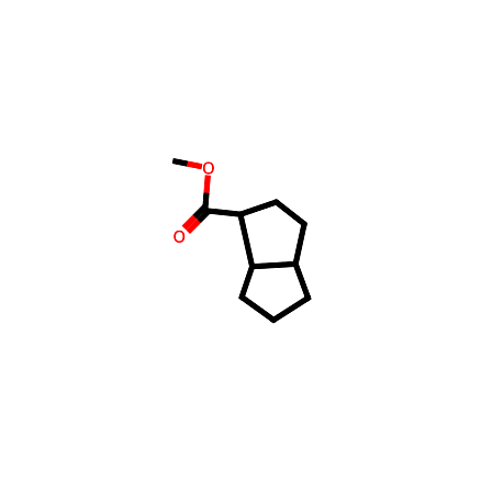 COC(=O)C1CCC2CCCC21